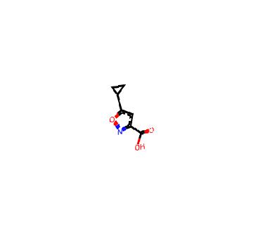 O=C(O)c1cc(C2CC2)on1